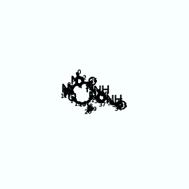 Cc1cc2cc(n1)-c1cnn(C)c1OCCC[C@@H](C1CC1)CN1/C(=N/C2=O)Nc2cc(NCC3COC3)ccc21